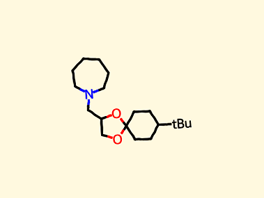 CC(C)(C)C1CCC2(CC1)OCC(CN1CCCCCC1)O2